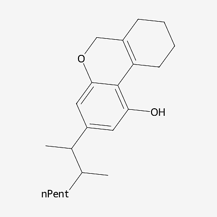 CCCCCC(C)C(C)c1cc(O)c2c(c1)OCC1=C2CCCC1